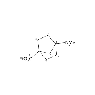 CCOC(=O)C12CCC(NC)(CC1)C2